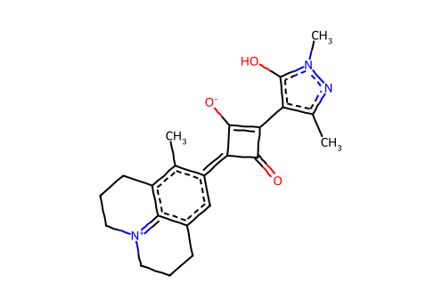 Cc1nn(C)c(O)c1C1=C([O-])/C(=c2/cc3c4c(c2C)CCC[N+]=4CCC3)C1=O